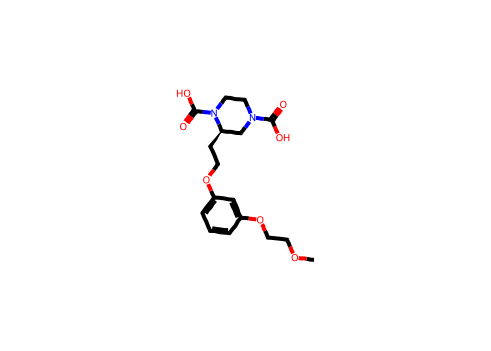 COCCOc1cccc(OCC[C@@H]2CN(C(=O)O)CCN2C(=O)O)c1